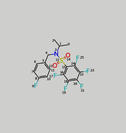 CC(C)N(Cc1ccc(F)cc1)S(=O)(=O)c1c(F)c(F)c(F)c(F)c1F